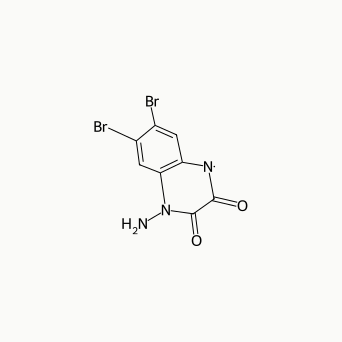 NN1C(=O)C(=O)[N]c2cc(Br)c(Br)cc21